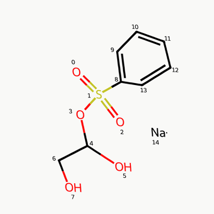 O=S(=O)(OC(O)CO)c1ccccc1.[Na]